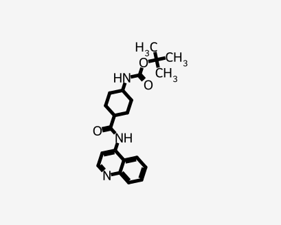 CC(C)(C)OC(=O)NC1CCC(C(=O)Nc2ccnc3ccccc23)CC1